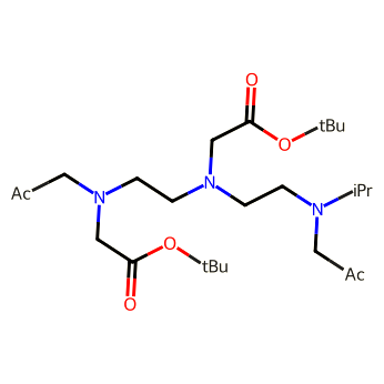 CC(=O)CN(CCN(CCN(CC(C)=O)C(C)C)CC(=O)OC(C)(C)C)CC(=O)OC(C)(C)C